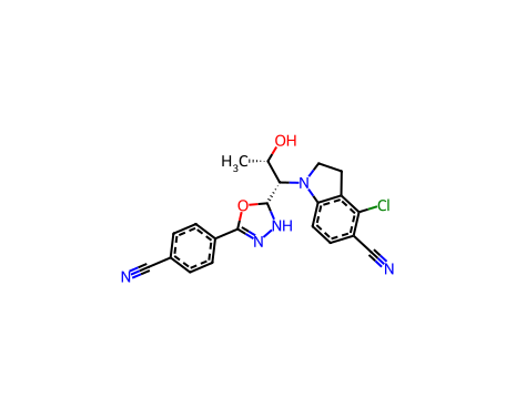 C[C@H](O)[C@@H](C1NN=C(c2ccc(C#N)cc2)O1)N1CCc2c1ccc(C#N)c2Cl